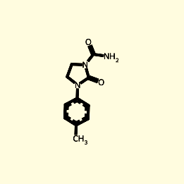 Cc1ccc(N2CCN(C(N)=O)C2=O)cc1